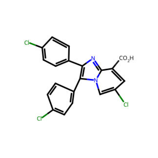 O=C(O)c1cc(Cl)cn2c(-c3ccc(Cl)cc3)c(-c3ccc(Cl)cc3)nc12